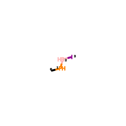 CPBI